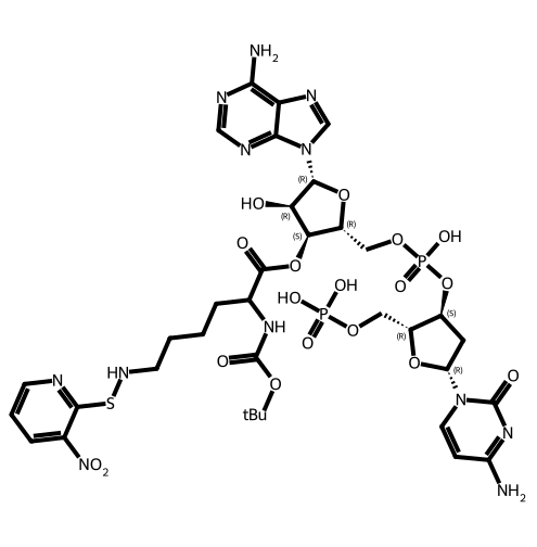 CC(C)(C)OC(=O)NC(CCCCNSc1ncccc1[N+](=O)[O-])C(=O)O[C@H]1[C@@H](O)[C@H](n2cnc3c(N)ncnc32)O[C@@H]1COP(=O)(O)O[C@H]1C[C@H](n2ccc(N)nc2=O)O[C@@H]1COP(=O)(O)O